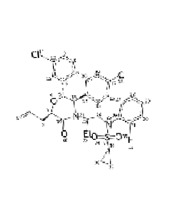 C=CC[C@H]1O[C@H](c2cccc(Cl)c2)[C@@H](c2ccc(Cl)cc2)N(C(CC)CN(c2ccccc2F)S(=O)(=O)C2CC2)C1=O